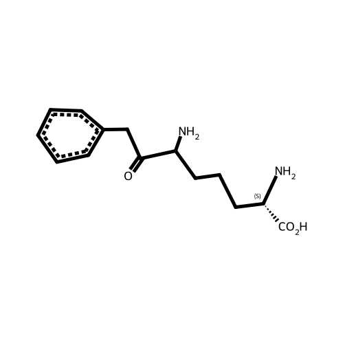 NC(CCC[C@H](N)C(=O)O)C(=O)Cc1ccccc1